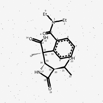 CCN(CC)C(=O)c1ccccc1[C@](C)(C(=O)S)[C@H]1NC(=O)[C@@H]1C(C)O